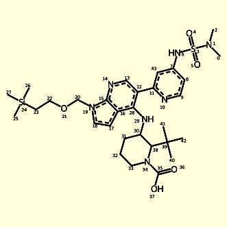 CN(C)S(=O)(=O)Nc1ccnc(-c2cnc3c(ccn3COCC[Si](C)(C)C)c2NC2CCCN(C(=O)O)C2C(C)(C)C)c1